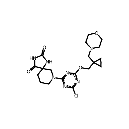 O=C1NC(=O)C2(CCCN(c3nc(Cl)nc(OCC4(CN5CCOCC5)CC4)n3)C2)N1